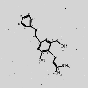 CC(C)=CCc1c(O)cc(CCc2ccccc2)cc1CO